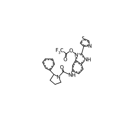 O=C(Nc1ccc2[nH]c(-c3cscn3)[n+](OC(=O)C(F)(F)F)c2c1)N1CCCC1c1ccccc1